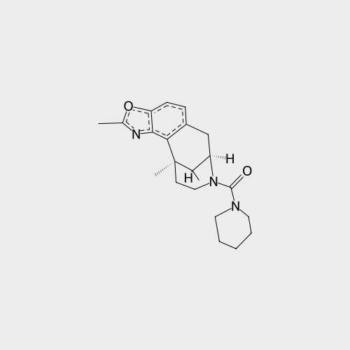 Cc1nc2c3c(ccc2o1)C[C@@H]1[C@@H](C)[C@@]3(C)CCN1C(=O)N1CCCCC1